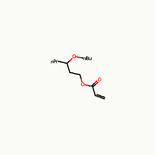 C=CC(=O)OCCC(CCC)OCCCC